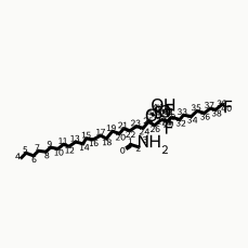 C=CCN.CCCCCCCCCCCCCCCCCCCCCCCC(C(F)C(F)CCCCCCCCF)S(=O)(=O)O